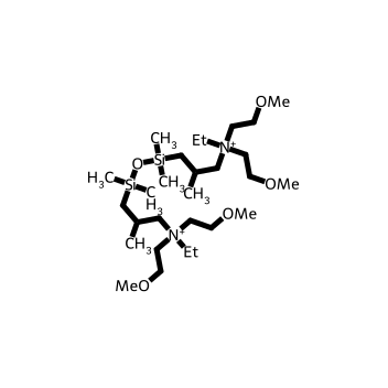 CC[N+](CCOC)(CCOC)CC(C)C[Si](C)(C)O[Si](C)(C)CC(C)C[N+](CC)(CCOC)CCOC